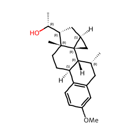 COc1ccc2c(c1)C[C@@H](C)[C@@H]1[C@@H]2CC[C@]2(C)[C@H]([C@@H](C)O)C[C@H]3C[C@@]312